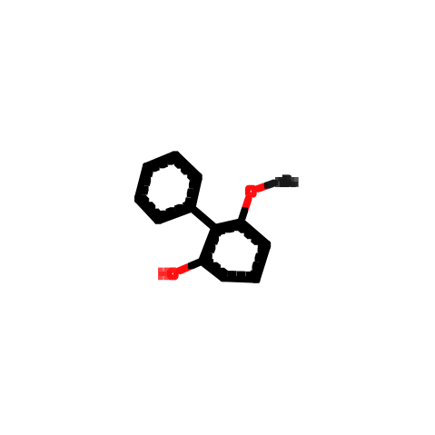 CCCCOc1cccc(O)c1-c1ccccc1